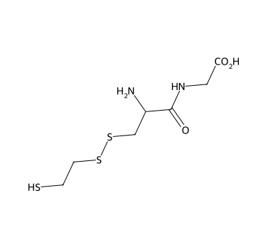 NC(CSSCCS)C(=O)NCC(=O)O